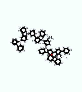 Cc1ccc(-n2c3ccccc3c3ccc(-c4ccc(-c5ccccc5)c(C)c4-n4c5ccccc5c5ccccc54)cc32)cc1-n1c2ccccc2c2c(-c3cccc(-n4c5ccccc5c5cc(-n6c7ccccc7c7ccccc76)ccc54)c3)cccc21